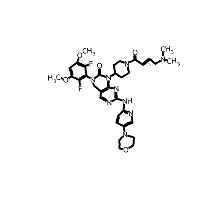 COc1cc(OC)c(F)c(N2Cc3cnc(Nc4ccc(N5CCOCC5)cn4)nc3N(C3CCN(C(=O)/C=C/CN(C)C)CC3)C2=O)c1F